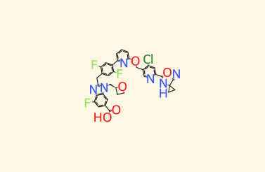 N#CC1(NC(=O)c2cc(Cl)c(COc3cccc(-c4cc(F)c(Cc5nc6c(F)cc(C(=O)O)cc6n5C[C@@H]5CCO5)cc4F)n3)cn2)CC1